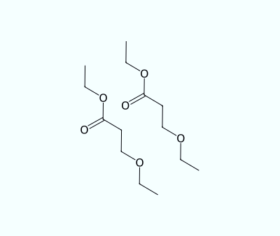 CCOCCC(=O)OCC.CCOCCC(=O)OCC